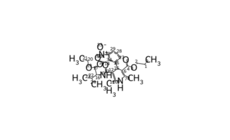 CCCOC(=O)C1=C(C)NC(C)=C(C(=O)N[C@H](C(=O)OCC)C(C)C)[C@H]1c1cccc([N+](=O)[O-])c1